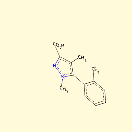 Cc1c(C(=O)O)nn(C)c1-c1ccccc1C(F)(F)F